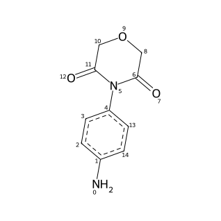 Nc1ccc(N2C(=O)COCC2=O)cc1